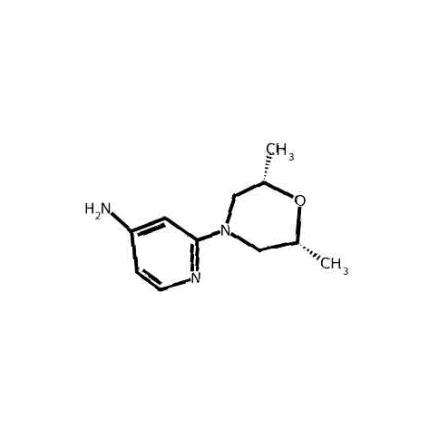 C[C@@H]1CN(c2cc(N)ccn2)C[C@H](C)O1